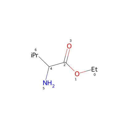 CCOC(=O)C(N)C(C)C